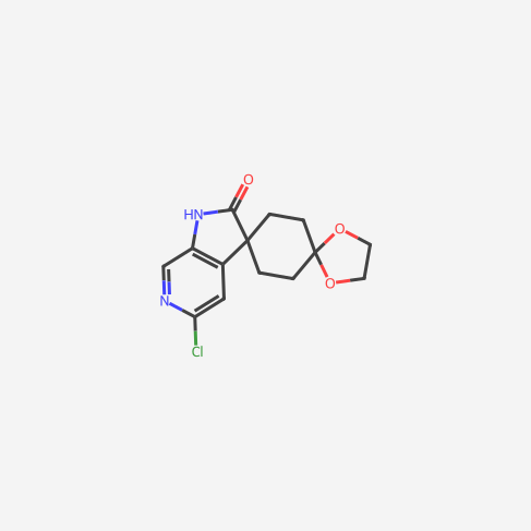 O=C1Nc2cnc(Cl)cc2C12CCC1(CC2)OCCO1